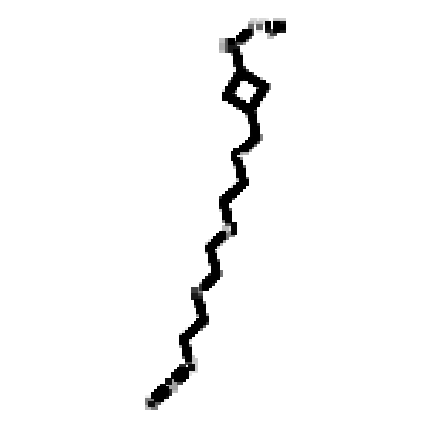 [N-]=[N+]=NCCOCCOCCOCC1CC(NC(=O)O)C1